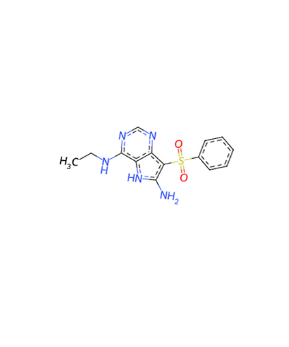 CCNc1ncnc2c(S(=O)(=O)c3ccccc3)c(N)[nH]c12